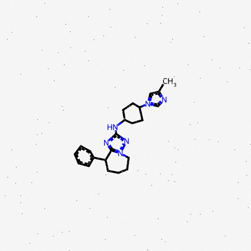 Cc1cn(C2CCC(Nc3nc4n(n3)CCCCC4c3ccccc3)CC2)cn1